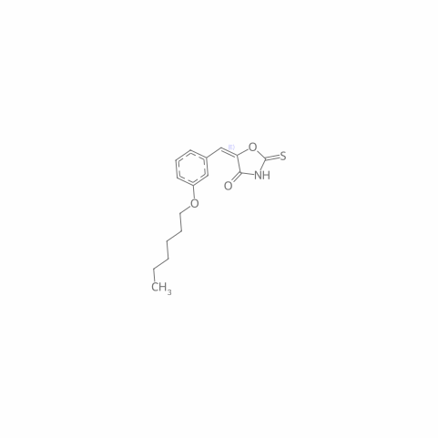 CCCCCCOc1cccc(/C=C2/OC(=S)NC2=O)c1